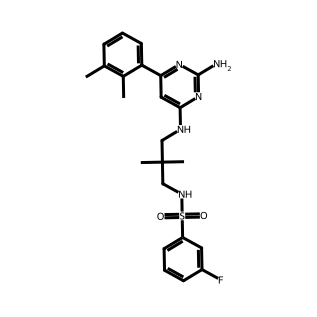 Cc1cccc(-c2cc(NCC(C)(C)CNS(=O)(=O)c3cccc(F)c3)nc(N)n2)c1C